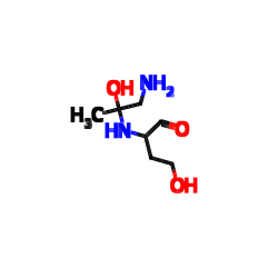 CC(O)(CN)NC(C=O)CCO